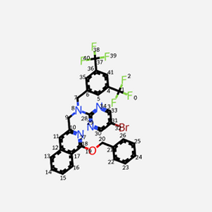 FC(F)(F)c1cc(CN(Cc2cc3ccccc3c(OCc3ccccc3)n2)c2ncc(Br)cn2)cc(C(F)(F)F)c1